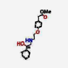 COC(=O)Cc1ccc(OCCNC[C@H](O)c2ccccc2)cc1